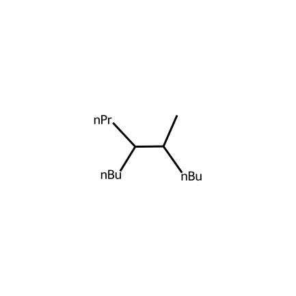 CCCCC(C)C(CCC)CCCC